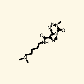 CN(C)CCCCCNC(=O)c1ncn2c(=O)n(C)nnc12